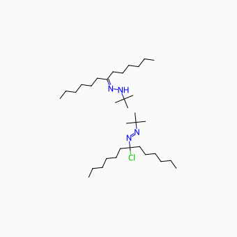 CCCCCCC(CCCCCC)=NNC(C)(C)C.CCCCCCC(Cl)(CCCCCC)N=NC(C)(C)C